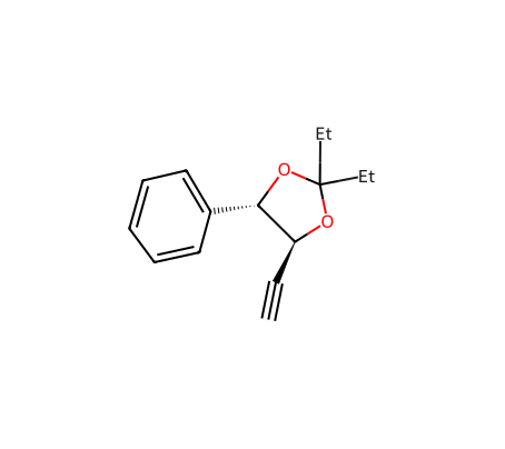 C#C[C@@H]1OC(CC)(CC)O[C@H]1c1ccccc1